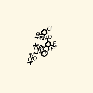 CCS(=O)(=O)c1ccc(Cl)cc1N(C)C(=O)c1cc(Cl)c(CN2CCC[C@H](N(CCN(C)C(=O)OC(C)(C)C)C(=O)OC(C)(C)C)C2)c(C(F)(F)F)c1